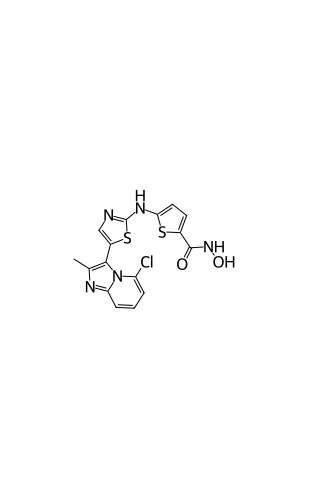 Cc1nc2cccc(Cl)n2c1-c1cnc(Nc2ccc(C(=O)NO)s2)s1